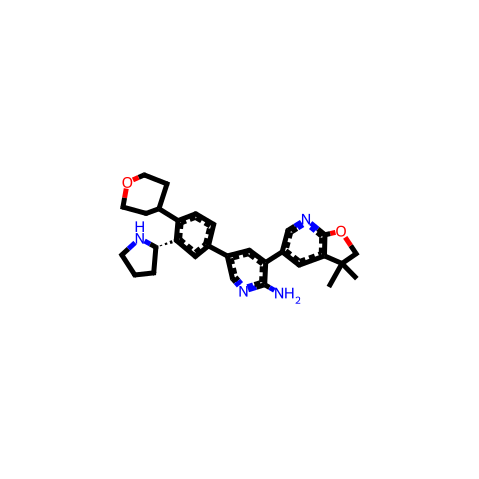 CC1(C)COc2ncc(-c3cc(-c4ccc(C5CCOCC5)c([C@@H]5CCCN5)c4)cnc3N)cc21